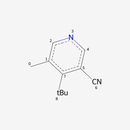 Cc1cncc(C#N)c1C(C)(C)C